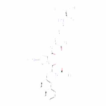 CC(=O)NC(Cc1ccc2ccccc2c1)C(=O)N1CC(N)CC1C(=O)NC(CCCCNC(N)=C(C)C)C(N)=O